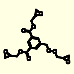 O=C(OCC1CO1)c1cc(COOCC2CO2)cc(C(=O)OCC2CO2)c1